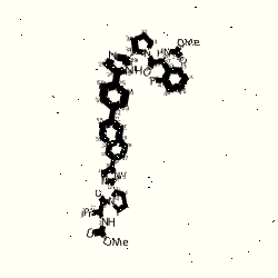 COC(=O)NC(C(=O)N1CCC[C@H]1c1ncc(-c2ccc3cc(-c4ccc(-c5cnc([C@@H]6CCCN6C(=O)[C@H](NC(=O)OC)c6ccccc6F)[nH]5)cc4)ccc3c2)[nH]1)C(C)C